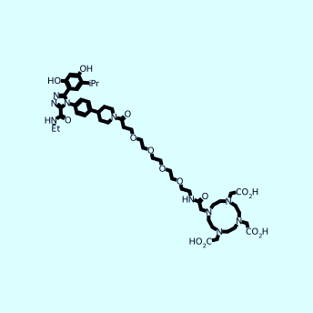 CCNC(=O)c1nnc(-c2cc(C(C)C)c(O)cc2O)n1-c1ccc(C2CCN(C(=O)CCOCCOCCOCCOCCNC(=O)CN3CCN(CC(=O)O)CCN(CC(=O)O)CCN(CC(=O)O)CC3)CC2)cc1